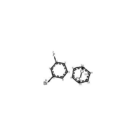 Fc1cccc(Br)c1.c1cc2ccc1CO2